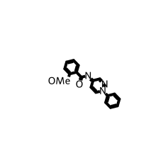 COc1ccccc1C(=O)/N=c1\ccn(-c2ccccc2)nc1